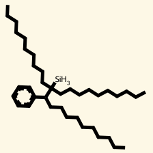 CCCCCCCCCCC(c1ccccc1)C([SiH3])(CCCCCCCCCC)CCCCCCCCCC